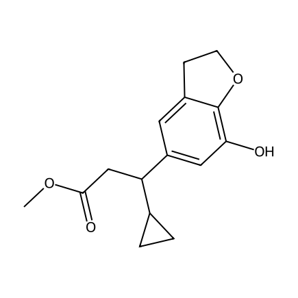 COC(=O)CC(c1cc(O)c2c(c1)CCO2)C1CC1